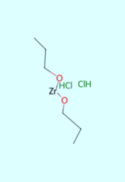 CCC[O][Zr][O]CCC.Cl.Cl